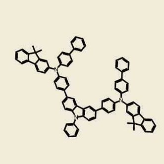 CC1(C)c2ccccc2-c2ccc(N(c3ccc(-c4ccccc4)cc3)c3ccc(-c4ccc5c(c4)c4cc(-c6ccc(N(c7ccc(-c8ccccc8)cc7)c7ccc8c(c7)C(C)(C)c7ccccc7-8)cc6)ccc4n5-c4ccccc4)cc3)cc21